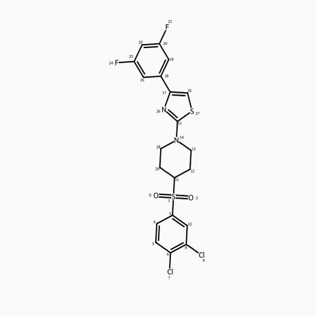 O=S(=O)(c1ccc(Cl)c(Cl)c1)C1CCN(c2nc(-c3cc(F)cc(F)c3)cs2)CC1